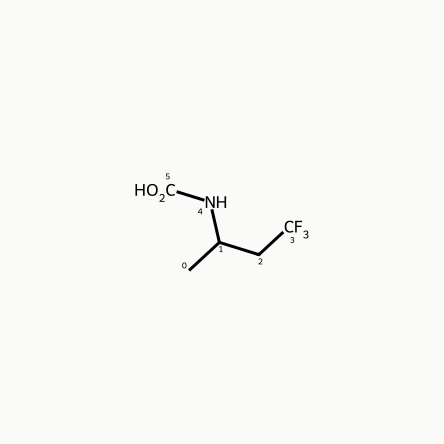 CC(CC(F)(F)F)NC(=O)O